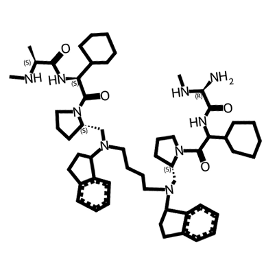 CN[C@@H](C)C(=O)N[C@H](C(=O)N1CCC[C@H]1CN(CCCCN(C[C@@H]1CCCN1C(=O)C(NC(=O)[C@H](N)NC)C1CCCCC1)C1CCc2ccccc21)C1CCc2ccccc21)C1CCCCC1